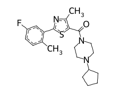 Cc1ccc(F)cc1-c1nc(C)c(C(=O)N2CCN(C3CCCC3)CC2)s1